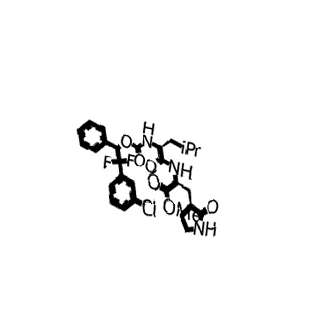 COC(=O)[C@H](C[C@@H]1CCNC1=O)NC(=O)[C@H](CC(C)C)NC(=O)OC(c1ccccc1)C(F)(F)c1cccc(Cl)c1